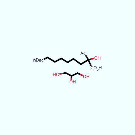 CCCCCCCCCCCCCCCCC(O)(C(C)=O)C(=O)O.OCC(O)CO